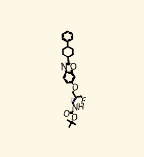 CC(C)(C)OC(=O)N/C=C(\CF)COc1ccc2nc(C3CCC(c4ccccc4)CC3)oc2c1